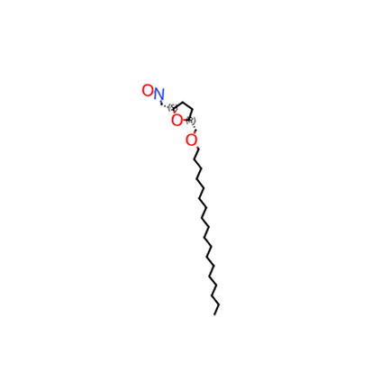 CCCCCCCCCCCCCCCCCCOC[C@H]1CC[C@@H](CN=O)O1